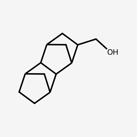 OCC1CC2CC1C1C3CCC(C3)C21